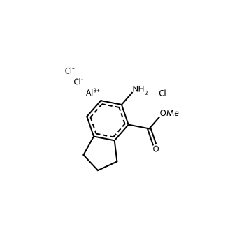 COC(=O)c1c(N)ccc2c1CCC2.[Al+3].[Cl-].[Cl-].[Cl-]